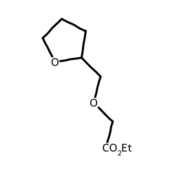 CCOC(=O)COCC1CCCO1